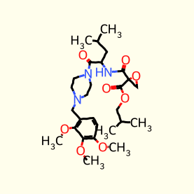 COc1ccc(CN2CCN(C(=O)C(CC(C)C)NC(=O)C3(C(=O)OCC(C)C)CO3)CC2)c(OC)c1OC